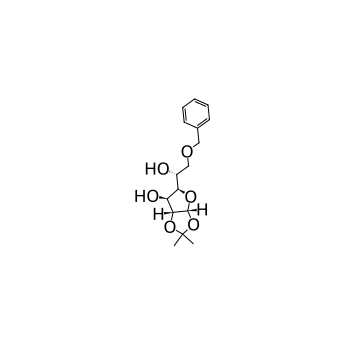 CC1(C)O[C@H]2O[C@H]([C@H](O)COCc3ccccc3)[C@H](O)[C@H]2O1